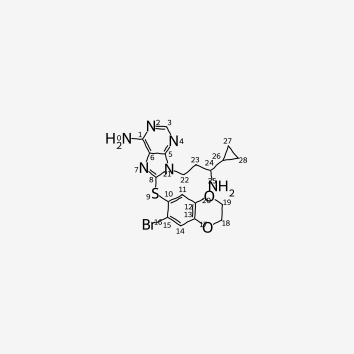 Nc1ncnc2c1nc(Sc1cc3c(cc1Br)OCCO3)n2CCC(N)C1CC1